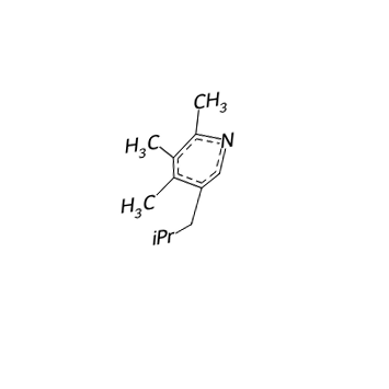 Cc1ncc(CC(C)C)c(C)c1C